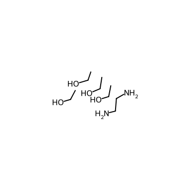 CCO.CCO.CCO.CCO.NCCN